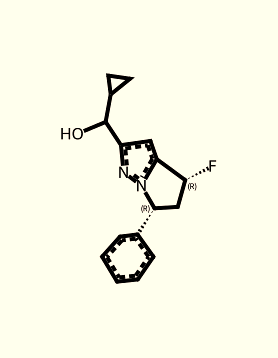 OC(c1cc2n(n1)[C@@H](c1ccccc1)C[C@H]2F)C1CC1